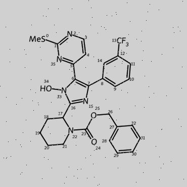 CSc1nccc(-c2c(-c3cccc(C(F)(F)F)c3)nc(C3CCCCN3C(=O)OCc3ccccc3)n2O)n1